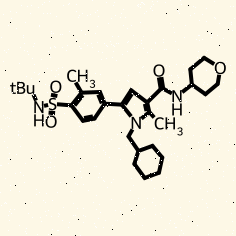 Cc1cc(-c2cc(C(=O)NC3CCOCC3)c(C)n2CC2CCCCC2)ccc1S(=O)(=O)NC(C)(C)C